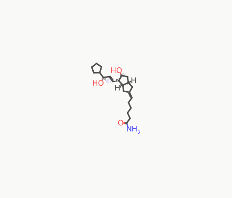 NC(=O)CCCCC=C1C[C@H]2C[C@@H](O)[C@H](/C=C/[C@H](O)C3CCCC3)[C@H]2C1